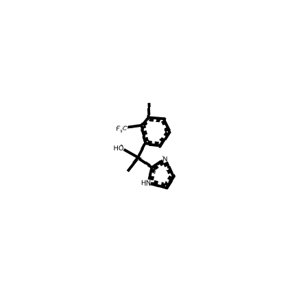 Cc1cccc(C(C)(O)c2ncc[nH]2)c1C(F)(F)F